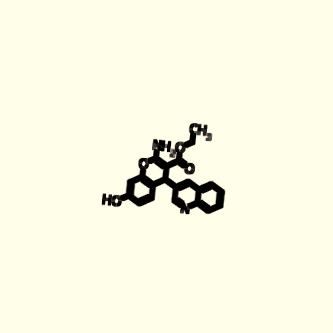 CCOC(=O)C1=C(N)Oc2cc(O)ccc2C1c1cnc2ccccc2c1